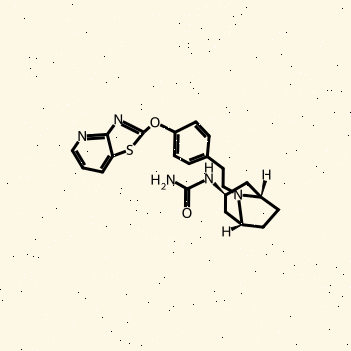 NC(=O)N[C@@H]1C[C@H]2CC[C@@H](C1)N2CCc1ccc(Oc2nc3ncccc3s2)cc1